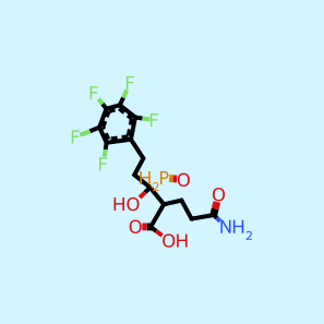 NC(=O)CCC(C(=O)O)C(O)(CCc1c(F)c(F)c(F)c(F)c1F)[PH2]=O